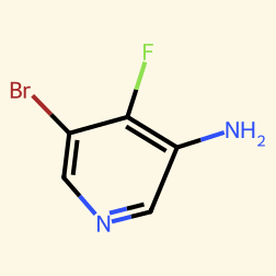 Nc1cncc(Br)c1F